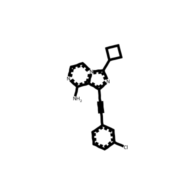 Nc1nccn2c(C3CCC3)nc(C#Cc3cccc(Cl)c3)c12